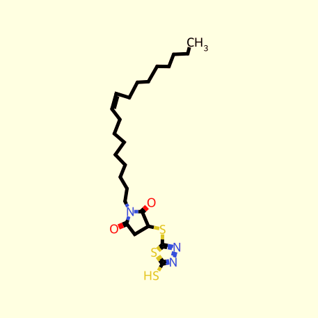 CCCCCCCC/C=C\CCCCCCCCN1C(=O)CC(Sc2nnc(S)s2)C1=O